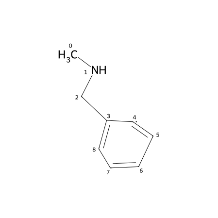 CNCc1[c]cccc1